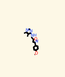 COc1ccc(-c2cc(CNc3ncnc(C)c3C)on2)cc1